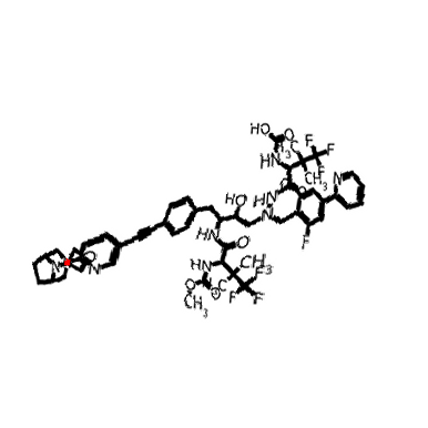 COC(=O)NC(C(=O)NC(Cc1ccc(C#Cc2ccc(N3CC4CCC(C3)N4C3COC3)nc2)cc1)C(O)CN(Cc1c(F)cc(-c2ccccn2)cc1Cl)NC(=O)C(NC(=O)O)C(C)(C)C(F)(F)F)C(C)(C)C(F)(F)F